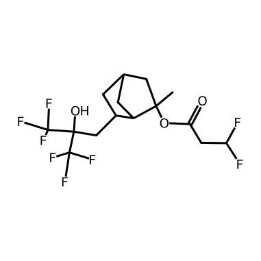 CC1(OC(=O)CC(F)F)CC2CC(CC(O)(C(F)(F)F)C(F)(F)F)C1C2